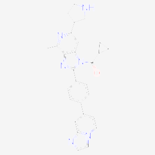 Cc1nc(C2CCNC2)cc2c1nc(-c1ccc(-c3ccn4ccnc4c3)cc1)n2C(=O)C1CC1